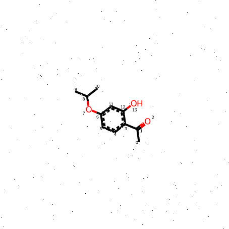 CC(=O)c1ccc(OC(C)C)cc1O